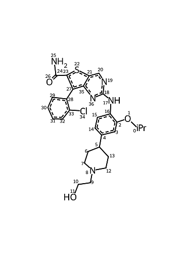 CC(C)Oc1cc(C2CCN(CCO)CC2)ccc1Nc1ncc2sc(C(N)=O)c(-c3ccccc3Cl)c2n1